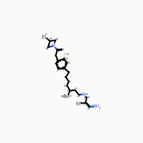 C=C(Cc1ccc(CCCCC(CCCC)CC/N=C\C(=C/N)CC)cc1F)N1CC(CC)C1